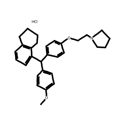 COc1ccc(C(c2ccc(OCCN3CCCC3)cc2)c2cccc3c2CCCC3)cc1.Cl